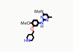 CNc1cc(C)nc(Nc2ccc(OC)c(OCC3CCNCC3)c2)n1